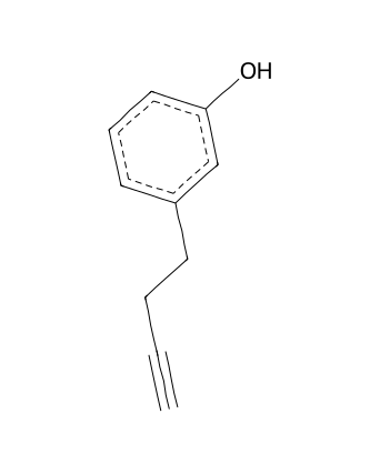 C#CCCc1cccc(O)c1